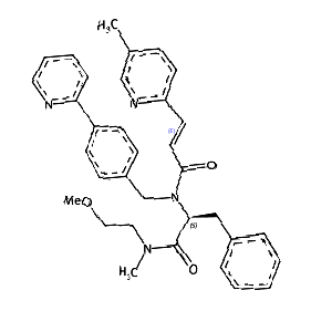 COCCN(C)C(=O)[C@H](Cc1ccccc1)N(Cc1ccc(-c2ccccn2)cc1)C(=O)/C=C/c1ccc(C)cn1